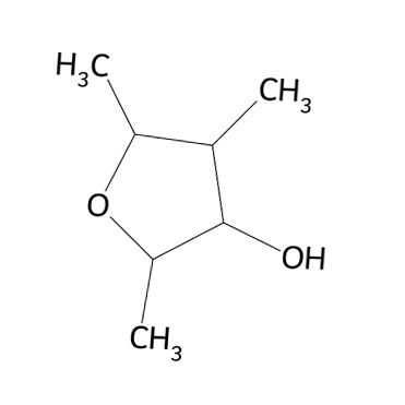 CC1OC(C)C(O)C1C